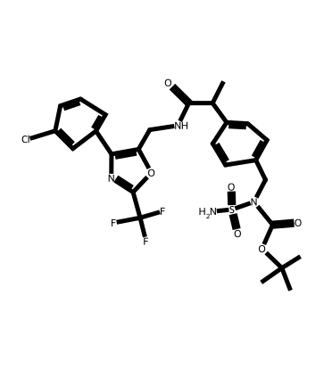 CC(C(=O)NCc1oc(C(F)(F)F)nc1-c1cccc(Cl)c1)c1ccc(CN(C(=O)OC(C)(C)C)S(N)(=O)=O)cc1